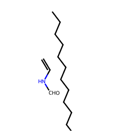 C=CNC=O.CCCCCCCCCCCC